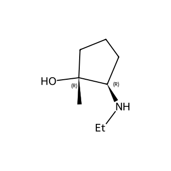 CCN[C@@H]1CCC[C@@]1(C)O